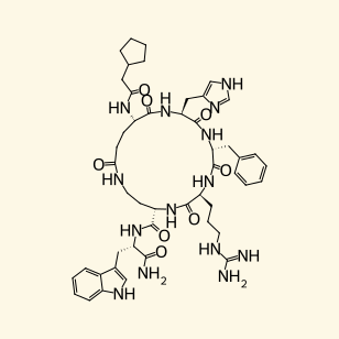 N=C(N)NCCC[C@@H]1NC(=O)[C@@H](Cc2ccccc2)NC(=O)[C@H](Cc2c[nH]cn2)NC(=O)[C@@H](NC(=O)CC2CCCC2)CCC(=O)NCC[C@@H](C(=O)N[C@@H](Cc2c[nH]c3ccccc23)C(N)=O)NC1=O